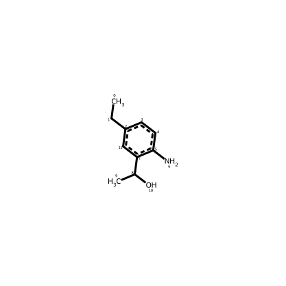 CCc1ccc(N)c(C(C)O)c1